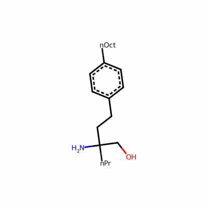 CCCCCCCCc1ccc(CCC(N)(CO)CCC)cc1